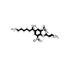 C/C=C/C(=O)Oc1c([N+](=O)[O-])cc(C(C)CCCCCC)cc1[N+](=O)[O-]